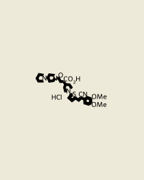 COc1ccc(C(C#N)=Cc2ccc(N3CCC(C(CC(=O)N4CCC(N5CCCCC5)CC4)C(=O)O)CC3)s2)cc1OC.Cl